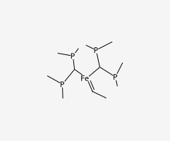 C[CH]=[Fe]([CH](P(C)C)P(C)C)[CH](P(C)C)P(C)C